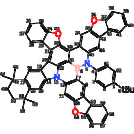 CC(C)(C)c1ccc(N2B3c4cc5c(cc4-n4c6cc7c(cc6c6c8c(oc9ccccc98)c(c3c64)-c3cc4oc6ccccc6c4cc32)C(C)(C)CCC7(C)C)oc2ccccc25)cc1